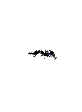 CCCCCCC(=O)N1CCN(CCOc2ccc(N3CCCC(OC(/C=C(\N)c4ccccc4O)=C(N)N)C3)cc2)CC1